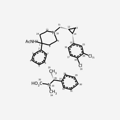 CC(=O)NC1(c2ccccc2)CCN(C[C@@H]2C[C@@H]2c2ccc(Cl)c(Cl)c2)CC1.C[C@H](c1ccccc1)N(C)C(=O)O